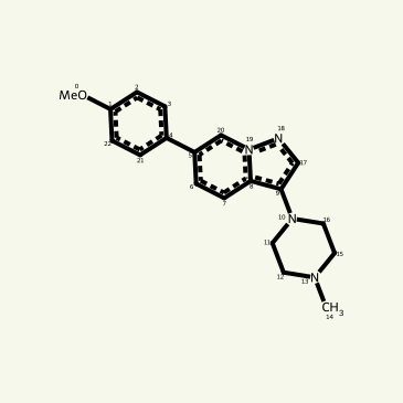 COc1ccc(-c2ccc3c(N4CCN(C)CC4)cnn3c2)cc1